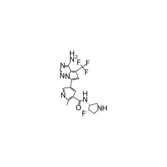 Cc1ncc(-c2cc(C(F)(F)F)c3c(N)ncnn23)cc1C(=O)N[C@@H]1CNC[C@@H]1F